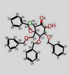 O=C1C(O)C(OCc2ccccc2)C(OCc2ccccc2)C(COCc2ccccc2)(OCc2ccccc2)C1Cl